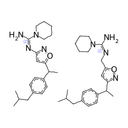 CC(C)Cc1ccc(C(C)c2cc(/N=C(/N)N3CCCCC3)no2)cc1.CC(C)Cc1ccc(C(C)c2cc(C/N=C(/N)N3CCCCC3)on2)cc1